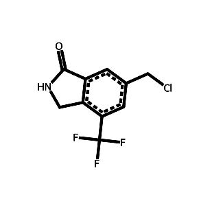 O=C1NCc2c1cc(CCl)cc2C(F)(F)F